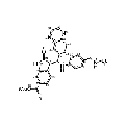 CCNCc1ccc(NC(=C2C(=O)Nc3cc(C(=O)OC)ccc32)c2ccc3nccnc3c2)cc1